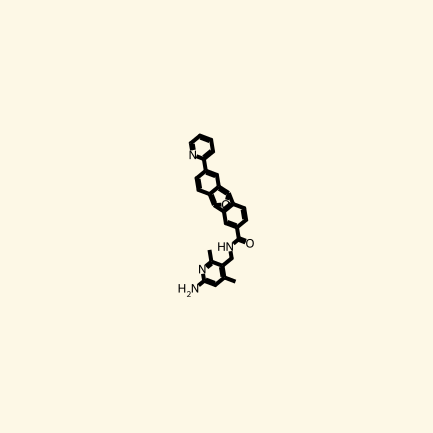 Cc1cc(N)nc(C)c1CNC(=O)c1ccc2c(c1)c1oc2c2cc(-c3ccccn3)ccc21